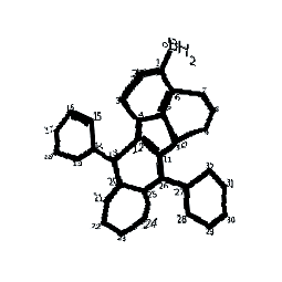 BC1CCC2C3=C1CCCC3C1=C2C(C2C=CCCC2)C2CCCCC2C1C1CCCCC1